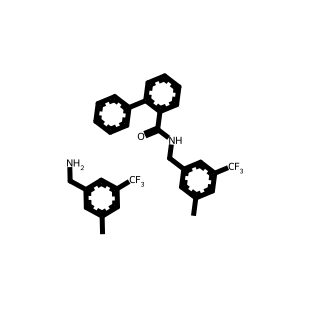 Cc1cc(CN)cc(C(F)(F)F)c1.Cc1cc(CNC(=O)c2ccccc2-c2ccccc2)cc(C(F)(F)F)c1